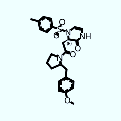 COc1ccc(CC2CCCN2C(=O)C[C@@H]2C(=O)NC=CN2S(=O)(=O)c2ccc(C)cc2)cc1